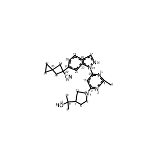 Cc1nc(N2CCC(C(C)(C)O)C2)cc(-n2ncc3ccc(C4(C#N)CC5(CC5)C4)cc32)n1